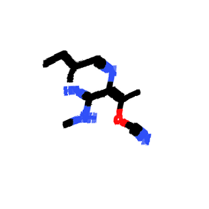 CCC(C)/C=N\C(C(=N)NC)=C(/C)OC#N